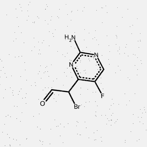 Nc1ncc(F)c(C(Br)C=O)n1